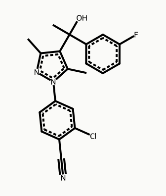 Cc1nn(-c2ccc(C#N)c(Cl)c2)c(C)c1C(C)(O)c1cccc(F)c1